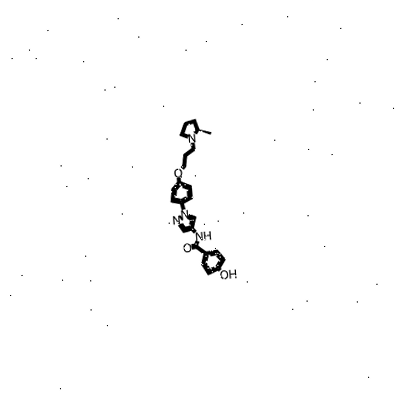 C[C@@H]1CCCN1CCCOc1ccc(-n2cc(NC(=O)c3ccc(O)cc3)cn2)cc1